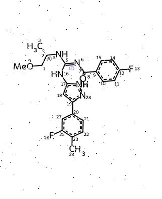 COC[C@H](C)N/C(=N/C(=O)c1ccc(F)cc1)Nc1cc(-c2ccc(C)c(F)c2)n[nH]1